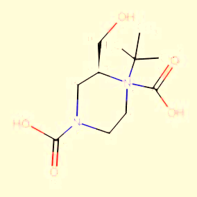 CC(C)(C)[N+]1(C(=O)O)CCN(C(=O)O)C[C@H]1CO